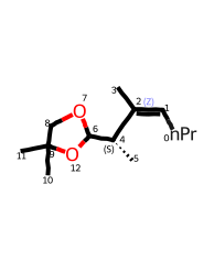 CCC/C=C(/C)[C@H](C)C1OCC(C)(C)O1